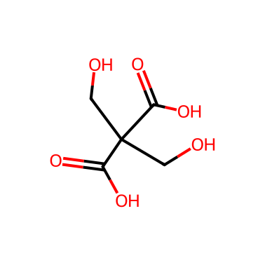 O=C(O)C(CO)(CO)C(=O)O